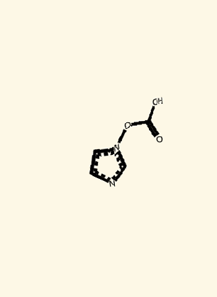 O=C(O)On1ccnc1